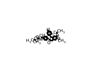 COc1cc2c(cc1OC(C)C)[C@H](c1ccc(Cl)cc1)N(c1ccc([C@H](C)NC(=O)OC(C)(C)C)cc1)C(=O)C2